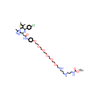 Cc1sc2c(c1C)C(c1ccc(Cl)cc1)=N[C@@H](CC(=O)Nc1ccc(OCCOCCOCCOCCOCCOCCNCCCN(C)CCCNC(=O)OC(C)(C)C)cc1)c1nnc(C)n1-2